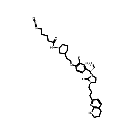 [N-]=[N+]=NCCCCC(=O)N[C@H]1CCCC(CCOc2ccc([C@H](CC(=O)O)N3CCN(CCCc4ccc5c(n4)NCCC5)C3=O)cc2F)C1